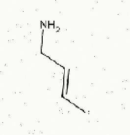 [CH]C=CCN